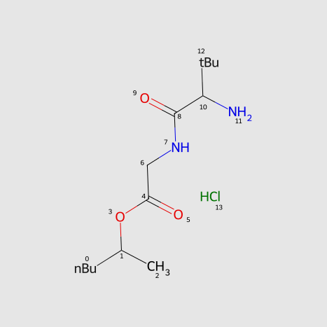 CCCCC(C)OC(=O)CNC(=O)C(N)C(C)(C)C.Cl